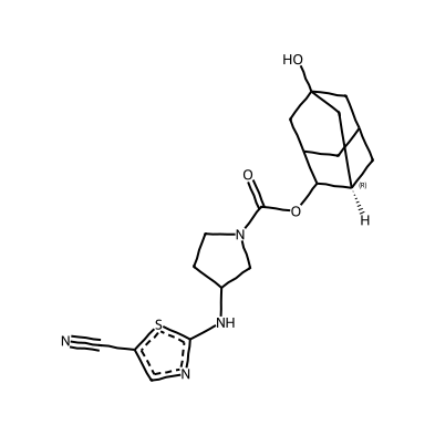 N#Cc1cnc(NC2CCN(C(=O)OC3C4CC5C[C@@H]3CC(O)(C5)C4)C2)s1